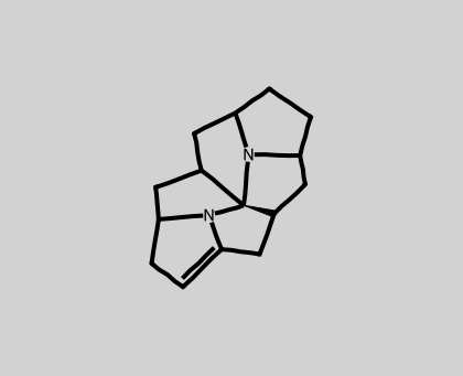 C1=C2CC3CC4CCC5CC6CC(C1)N2[C@]36N45